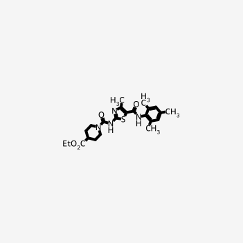 CCOC(=O)C1CCN(C(=O)Nc2nc(C)c(C(=O)Nc3c(C)cc(C)cc3C)s2)CC1